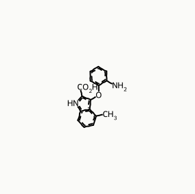 Cc1cccc2[nH]c(C(=O)O)c(Oc3ccccc3N)c12